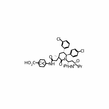 CC(C)[C@@H](CS(=N)(=O)C(C)C)N1C(=O)[C@@](C)(CC(=O)NC23CCC(C(=O)O)(CC2)CC3)C[C@H](c2cccc(Cl)c2)[C@H]1c1ccc(Cl)cc1